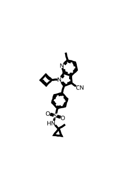 Cc1ccc2c(C#N)c(-c3ccc(S(=O)(=O)NC4(C)CC4)cc3)n(C3=CC=C3)c2n1